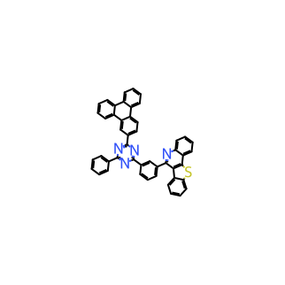 c1ccc(-c2nc(-c3cccc(-c4nc5ccccc5c5sc6ccccc6c45)c3)nc(-c3ccc4c5ccccc5c5ccccc5c4c3)n2)cc1